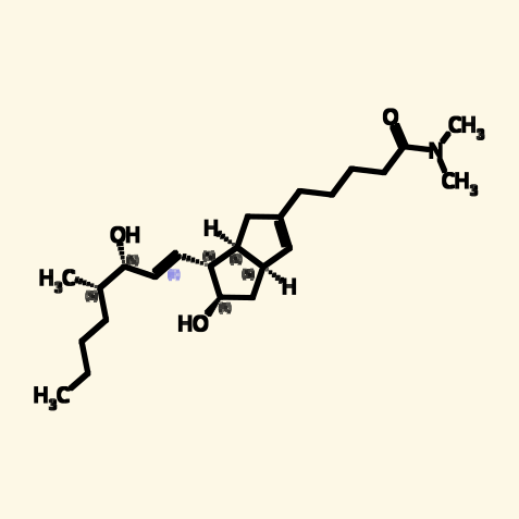 CCCC[C@H](C)[C@H](O)/C=C/[C@@H]1[C@H]2CC(CCCCC(=O)N(C)C)=C[C@H]2C[C@H]1O